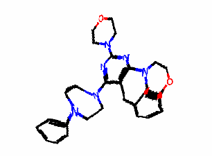 c1ccc(Cc2c(N3CCOCC3)nc(N3CCOCC3)nc2N2CCN(c3ccccc3)CC2)cc1